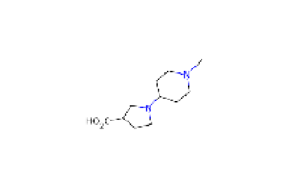 CN1CCC(N2CCC(C(=O)O)C2)CC1